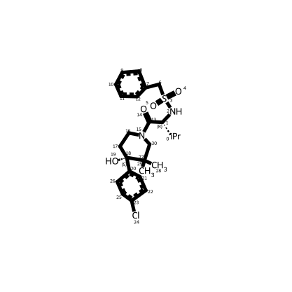 CC(C)[C@@H](NS(=O)(=O)Cc1ccccc1)C(=O)N1CC[C@](O)(c2ccc(Cl)cc2)C(C)(C)C1